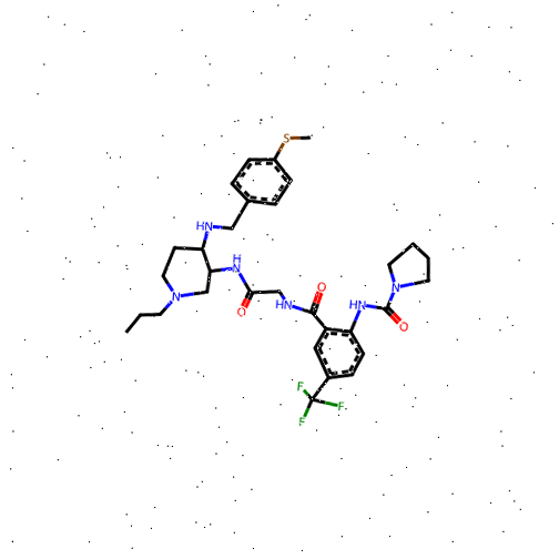 CCCN1CCC(NCc2ccc(SC)cc2)C(NC(=O)CNC(=O)c2cc(C(F)(F)F)ccc2NC(=O)N2CCCC2)C1